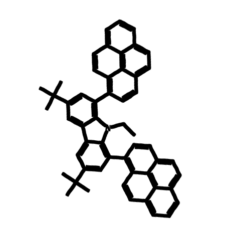 CCn1c2c(-c3ccc4ccc5cccc6ccc3c4c56)cc(C(C)(C)C)cc2c2cc(C(C)(C)C)cc(-c3ccc4ccc5cccc6ccc3c4c56)c21